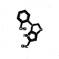 O=Cc1cc2c([nH]1)N(c1ccccc1C=O)CO2